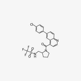 O=C(c1ccnc2ccc(-c3ccc(Cl)cc3)cc12)N1CCCC1CNS(=O)(=O)C(F)(F)F